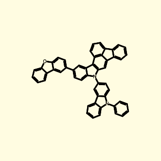 c1ccc(-n2c3ccccc3c3cc(-n4c5ccc(-c6ccc7oc8ccccc8c7c6)cc5c5c6cccc7c6c(cc54)-c4ccccc4-7)ccc32)cc1